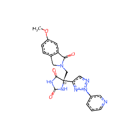 COc1ccc2c(c1)C(=O)N(C[C@@]1(c3cnn(-c4cccnc4)n3)NC(=O)NC1=O)C2